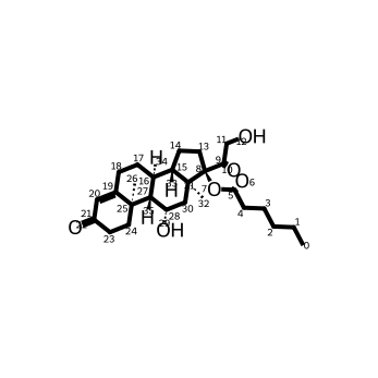 CCCCCC(=O)O[C@]1(C(=O)CO)CC[C@H]2[C@@H]3CCC4=CC(=O)CC[C@]4(C)[C@H]3[C@@H](O)C[C@@]21C